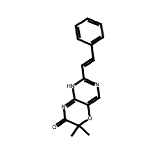 CC1(C)OC2=CN=C(C=Cc3ccccc3)NC2=NC1=O